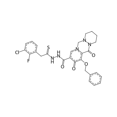 O=C(NNC(=S)Cc1cccc(Cl)c1F)c1cn2c(c(OCc3ccccc3)c1=O)C(=O)N1CCCCN1C2